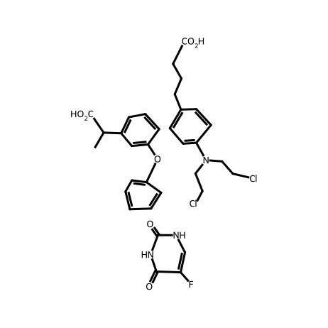 CC(C(=O)O)c1cccc(Oc2ccccc2)c1.O=C(O)CCCc1ccc(N(CCCl)CCCl)cc1.O=c1[nH]cc(F)c(=O)[nH]1